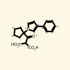 O=C(O)C(C(=O)O)C(=O)C1(n2ccc(-c3ccccc3)c2)CCCC1